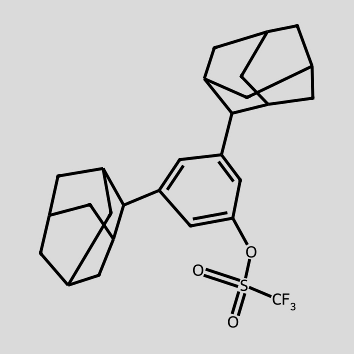 O=S(=O)(Oc1cc(C2C3CC4CC(C3)CC2C4)cc(C2C3CC4CC(C3)CC2C4)c1)C(F)(F)F